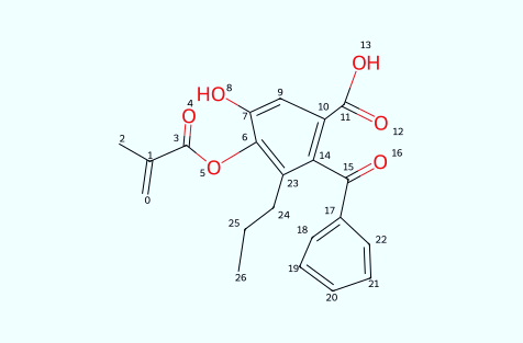 C=C(C)C(=O)Oc1c(O)cc(C(=O)O)c(C(=O)c2ccccc2)c1CCC